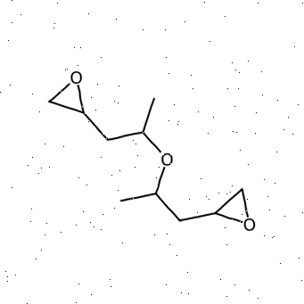 CC(CC1CO1)OC(C)CC1CO1